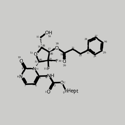 CCCCCCCOC(=O)Nc1ccnc(=O)n1[C@@H]1O[C@H](CO)[C@@H](OC(=O)CCc2ccccc2)C1(F)F